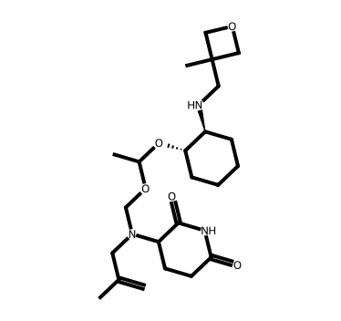 C=C(C)CN(COC(C)O[C@H]1CCCC[C@@H]1NCC1(C)COC1)C1CCC(=O)NC1=O